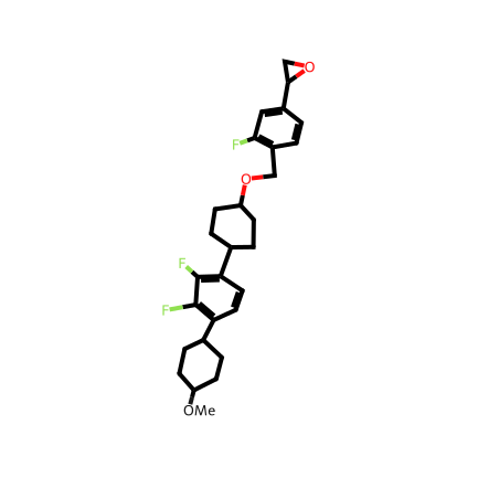 COC1CCC(c2ccc(C3CCC(OCc4ccc(C5CO5)cc4F)CC3)c(F)c2F)CC1